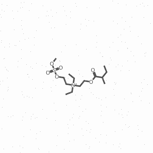 CCC(C)C(=O)OCC[N+](CC)(CC)CCOS(=O)(=O)OC